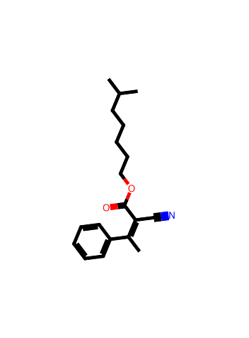 CC(=C(C#N)C(=O)OCCCCCC(C)C)c1ccccc1